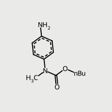 CCCCOC(=O)N(C)c1ccc(N)cc1